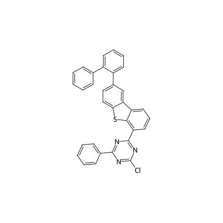 Clc1nc(-c2ccccc2)nc(-c2cccc3c2sc2ccc(-c4ccccc4-c4ccccc4)cc23)n1